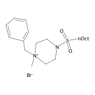 CCCCCCCCS(=O)(=O)N1CC[N+](C)(Cc2ccccc2)CC1.[Br-]